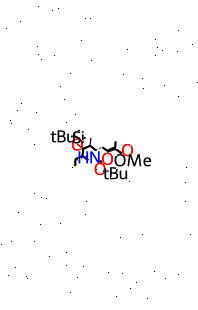 C/C=C(\C)[C@@H](O[Si](C)(C)C(C)(C)C)[C@@H](C)[C@H](C/C=C(\C)C(=O)OC)NC(=O)OC(C)(C)C